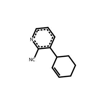 N#Cc1ncccc1C1C=CCCC1